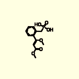 COC(=O)/C=C(\OC)c1ccccc1CP(=O)(O)O